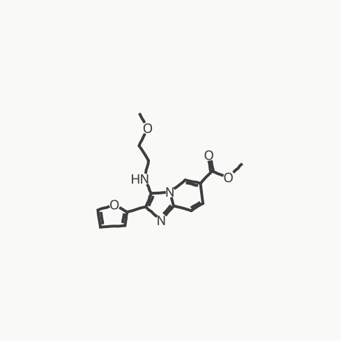 COCCNc1c(-c2ccco2)nc2ccc(C(=O)OC)cn12